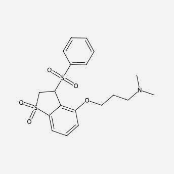 CN(C)CCCOc1cccc2c1C(S(=O)(=O)c1ccccc1)CS2(=O)=O